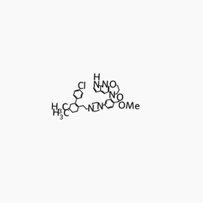 COC(=O)c1ccc(N2CCN(CCC3=C(c4ccc(Cl)cc4)CC(C)(C)CC3)CC2)cc1N1CCCOc2nc3[nH]ccc3cc21